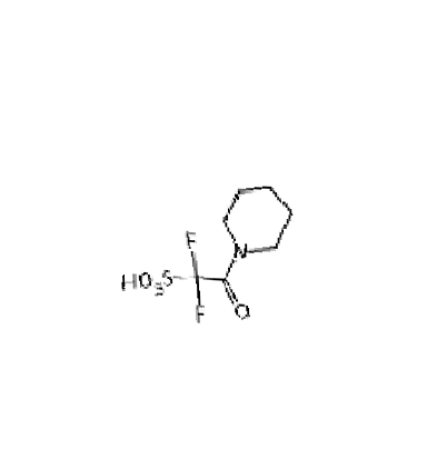 O=C(N1CCCCC1)C(F)(F)S(=O)(=O)O